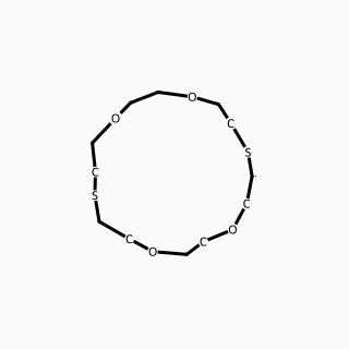 [CH]1COCCOCCSCCOCCOCCS1